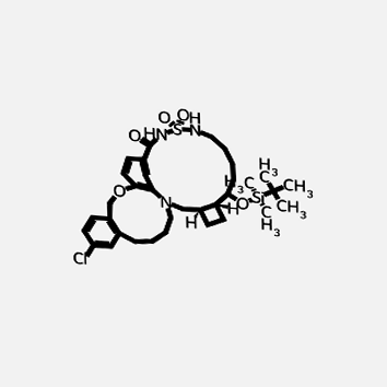 CC(C)(C)[Si](C)(C)OC1CCCCNS(=O)(=O)NC(=O)c2ccc3c(c2)N(CCCCc2cc(Cl)ccc2CO3)C[C@@H]2CC[C@@H]12